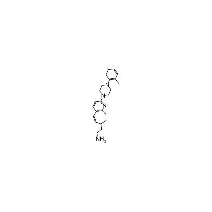 CC1=C(N2CCN(c3ccc4c(n3)CCC(CCN)C=C4)CC2)CCC=C1